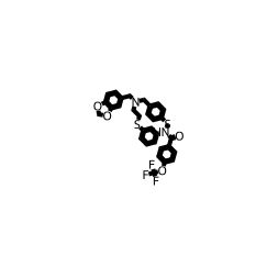 O=C(NSc1ccc(CN(CCSc2ccccc2)Cc2ccc3c(c2)OCO3)cc1)c1ccc(OC(F)(F)F)cc1